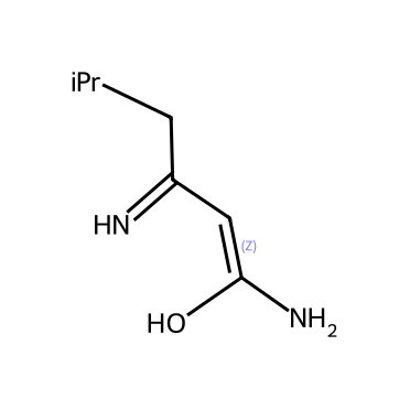 CC(C)CC(=N)/C=C(/N)O